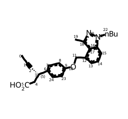 CC#C[C@@H](CC(=O)O)c1ccc(OCc2cccc3c2c(C)nn3CCCC)cc1